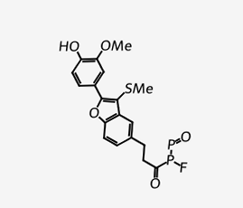 COc1cc(-c2oc3ccc(CCC(=O)P(F)P=O)cc3c2SC)ccc1O